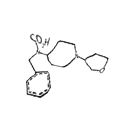 O=C(O)N(Cc1ccccc1)C1CCN(C2CCOC2)CC1